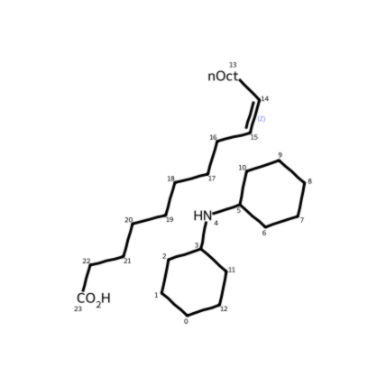 C1CCC(NC2CCCCC2)CC1.CCCCCCCC/C=C\CCCCCCCC(=O)O